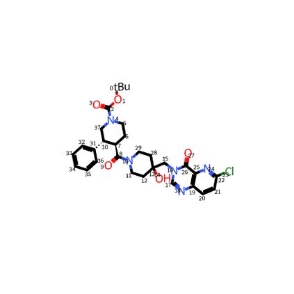 CC(C)(C)OC(=O)N1CC[C@@H](C(=O)N2CCC(O)(Cn3cnc4ccc(Cl)nc4c3=O)CC2)[C@H](c2ccccc2)C1